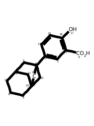 O=C(O)c1cc(C23CC4CCCC(C4)(C2)C3)ccc1O